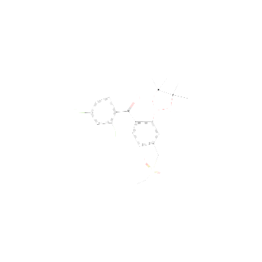 CCS(=O)(=O)Cc1ccc(C(=O)c2ccc(F)cc2F)c(B2OC(C)(C)C(C)(C)O2)c1